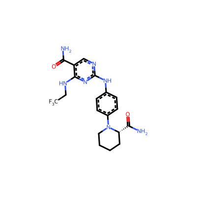 NC(=O)c1cnc(Nc2ccc(N3CCCC[C@H]3C(N)=O)cc2)nc1NCC(F)(F)F